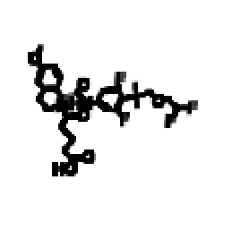 COc1ccc2c(c1)CCN(C(=O)CCCC(=O)O)[C@H]2C(=O)Nc1cc(F)c(C(C)(C)COCC(F)F)c(F)c1